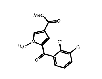 COC(=O)c1cc(C(=O)c2cccc(Cl)c2Cl)n(C)c1